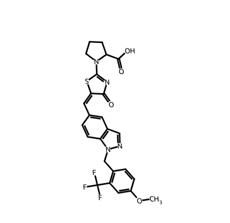 COc1ccc(Cn2ncc3cc(C=C4SC(N5CCCC5C(=O)O)=NC4=O)ccc32)c(C(F)(F)F)c1